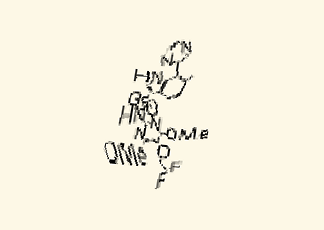 COc1nc(NS(=O)(=O)c2c[nH]c3c(-c4cnccn4)c(C)ccc23)nc(OC)c1OCC(F)F